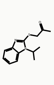 CC(=O)CSc1nc2ccccc2n1C(C)C